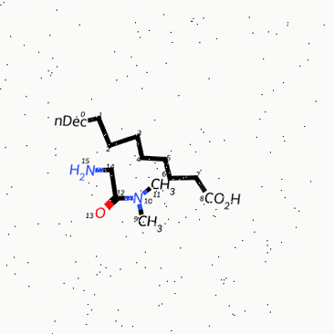 CCCCCCCCCCCCCCCCCC(=O)O.CN(C)C(=O)CN